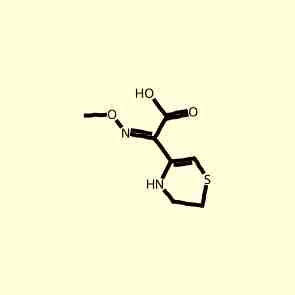 CON=C(C(=O)O)C1=CSCCN1